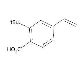 C=Cc1ccc(C(=O)O)c(C(C)(C)C)c1